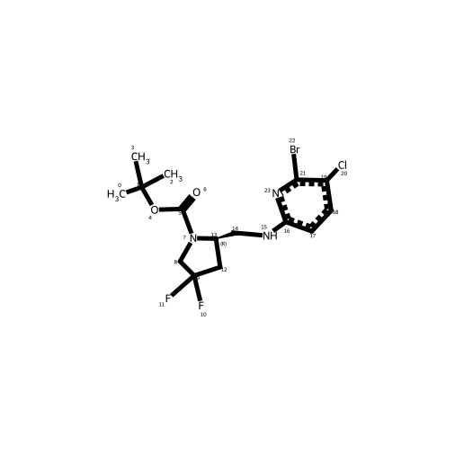 CC(C)(C)OC(=O)N1CC(F)(F)C[C@@H]1CNc1ccc(Cl)c(Br)n1